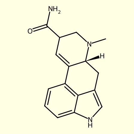 CN1CC(C(N)=O)C=C2c3cccc4[nH]cc(c34)C[C@H]21